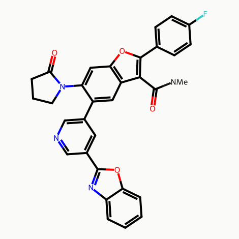 CNC(=O)c1c(-c2ccc(F)cc2)oc2cc(N3CCCC3=O)c(-c3cncc(-c4nc5ccccc5o4)c3)cc12